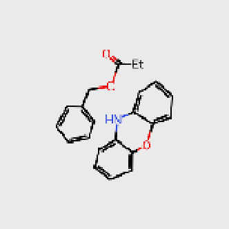 CCC(=O)OCc1ccccc1.c1ccc2c(c1)Nc1ccccc1O2